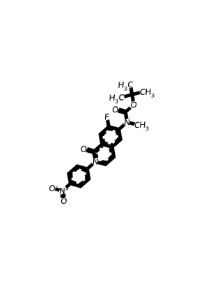 CN(C(=O)OC(C)(C)C)c1cc2ccn(-c3ccc([N+](=O)[O-])cc3)c(=O)c2cc1F